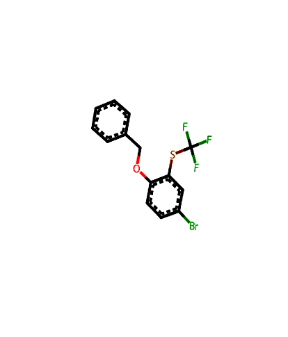 FC(F)(F)Sc1cc(Br)ccc1OCc1ccccc1